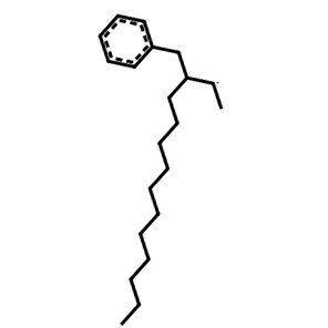 C[CH]C(CCCCCCCCCCC)Cc1ccccc1